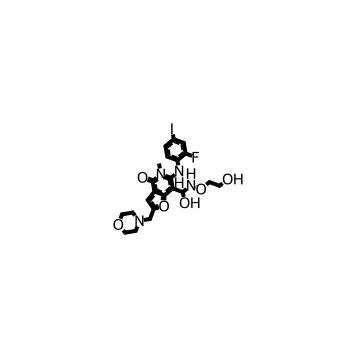 Cn1c(Nc2ccc(I)cc2F)c(C(O)NOCCO)c2oc(CN3CCOCC3)cc2c1=O